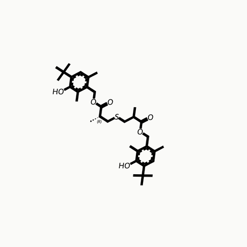 Cc1cc(C(C)(C)C)c(O)c(C)c1COC(=O)C(C)CSC[C@H](C)C(=O)OCc1c(C)cc(C(C)(C)C)c(O)c1C